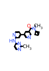 Cc1nccc(Nc2cc(-c3cncc(C(=O)N(C)C45CC(C4)C5)c3)ccn2)n1